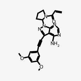 C=CC(=O)N1CCCC1n1nc(C#Cc2cc(OC)cc(OC)c2)c2c(N)ncnc21